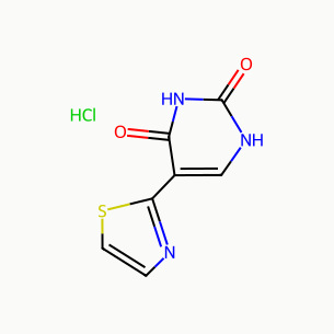 Cl.O=c1[nH]cc(-c2nccs2)c(=O)[nH]1